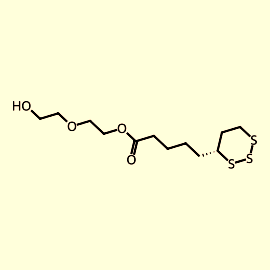 O=C(CCCC[C@@H]1CCSSS1)OCCOCCO